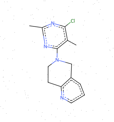 Cc1nc(Cl)c(C)c(N2CCc3ncccc3C2)n1